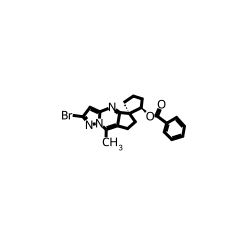 Cc1c2c(nc3cc(Br)nn13)[C@]1(CCC[C@H]1OC(=O)c1ccccc1)CC2